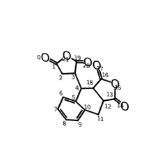 O=C1CC(C2c3ccccc3CC3C(=O)OC(=O)C32)C(=O)O1